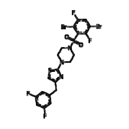 O=S(=O)(c1c(F)c(Br)cc(F)c1Br)N1CCN(c2nc(Cc3cc(F)cc(F)c3)cs2)CC1